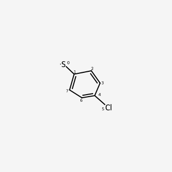 [S]c1ccc(Cl)cc1